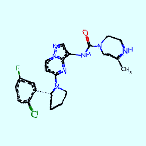 C[C@H]1CN(C(=O)Nc2cnn3ccc(N4CCC[C@@H]4c4cc(F)ccc4Cl)nc23)CCN1